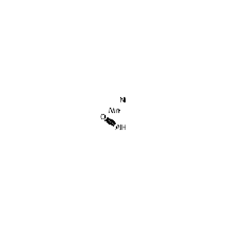 [Mn].[Ni].[O]=[AlH]